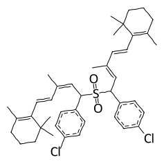 CC(C=CC1=C(C)CCCC1(C)C)=CC(c1ccc(Cl)cc1)S(=O)(=O)C(C=C(C)C=CC1=C(C)CCCC1(C)C)c1ccc(Cl)cc1